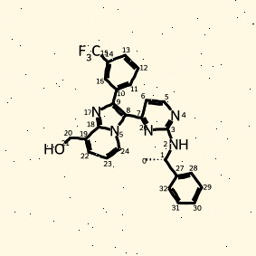 C[C@H](Nc1nccc(-c2c(-c3cccc(C(F)(F)F)c3)nc3c(CO)cccn23)n1)c1ccccc1